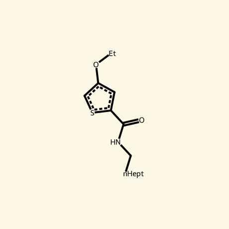 CCCCCCCCNC(=O)c1cc(OCC)cs1